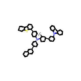 Cc1cc(-c2cccc(-n3c4ccccc4c4ccccc43)c2)ccc1N(c1ccc(-c2ccc3ccccc3c2)cc1)c1ccc(-c2cccc3c2sc2ccccc23)cc1